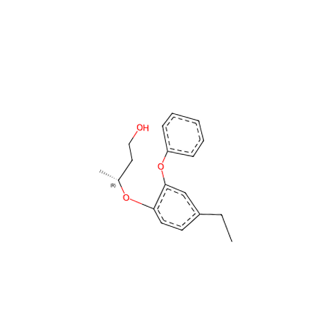 CCc1ccc(O[C@H](C)CCO)c(Oc2ccccc2)c1